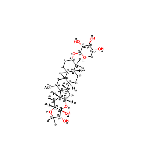 CC(=O)O[C@@H]1C[C@@]23C[C@@]24CC[C@H](O[C@@H]2OC[C@@H](O)[C@H](O)[C@H]2O)C(C)(C)[C@@H]4CC[C@H]3[C@]2(C)C[C@@H]3O[C@@]4(O)[C@H](OC(C)(C)[C@H]4O)[C@@H](C)[C@@H]3[C@@]12C